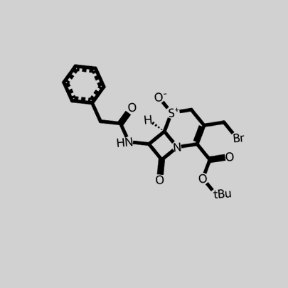 CC(C)(C)OC(=O)C1=C(CBr)C[S+]([O-])[C@@H]2C(NC(=O)Cc3ccccc3)C(=O)N12